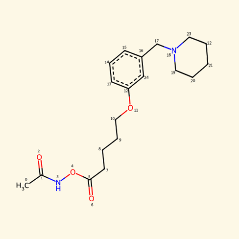 CC(=O)NOC(=O)CCCCOc1cccc(CN2CCCCC2)c1